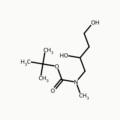 CN(CC(O)CCO)C(=O)OC(C)(C)C